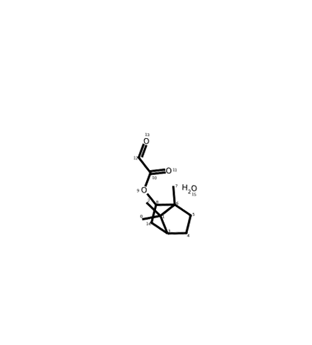 CC1(C)C2CCC1(C)C(OC(=O)C=O)C2.O